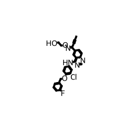 CC#CC(=NOCCO)c1ccc2ncnc(Nc3ccc(OCc4cccc(F)c4)c(Cl)c3)c2c1